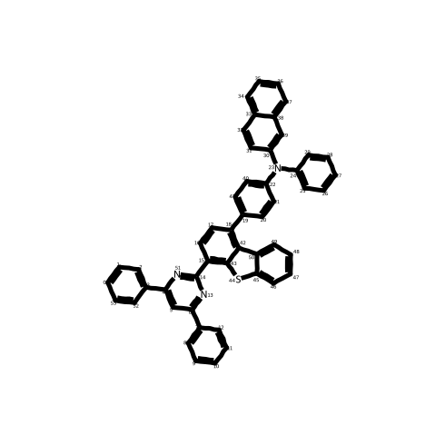 c1ccc(-c2cc(-c3ccccc3)nc(-c3ccc(-c4ccc(N(c5ccccc5)c5ccc6ccccc6c5)cc4)c4c3sc3ccccc34)n2)cc1